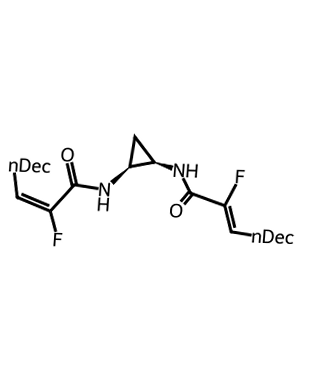 CCCCCCCCCC/C=C(\F)C(=O)N[C@@H]1C[C@@H]1NC(=O)/C(F)=C\CCCCCCCCCC